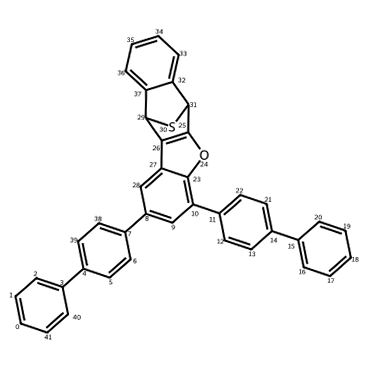 c1ccc(-c2ccc(-c3cc(-c4ccc(-c5ccccc5)cc4)c4oc5c(c4c3)C3SC5c4ccccc43)cc2)cc1